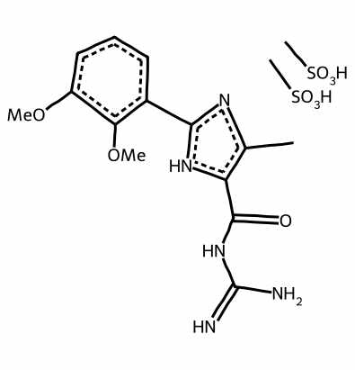 COc1cccc(-c2nc(C)c(C(=O)NC(=N)N)[nH]2)c1OC.CS(=O)(=O)O.CS(=O)(=O)O